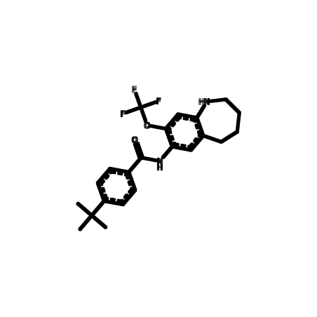 CC(C)(C)c1ccc(C(=O)Nc2cc3c(cc2OC(F)(F)F)NCCCC3)cc1